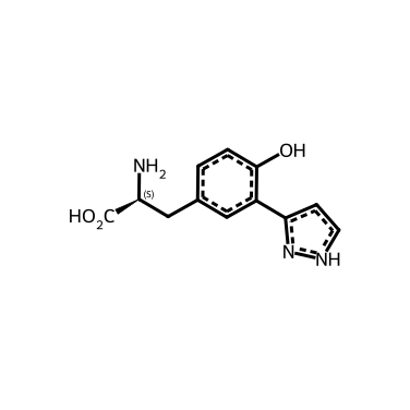 N[C@@H](Cc1ccc(O)c(-c2cc[nH]n2)c1)C(=O)O